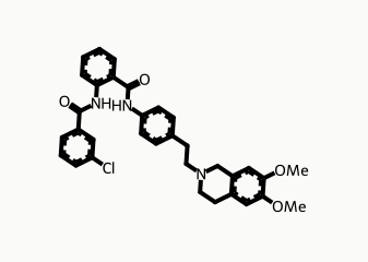 COc1cc2c(cc1OC)CN(CCc1ccc(NC(=O)c3ccccc3NC(=O)c3cccc(Cl)c3)cc1)CC2